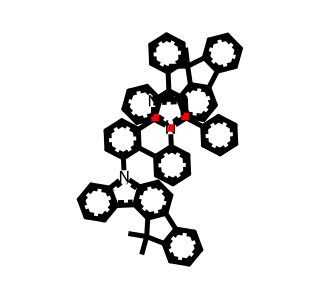 CC1(C)c2ccccc2-c2ccc3c(c21)c1ccccc1n3-c1ccccc1-c1c(-c2nc(-c3ccccc3)cc(-c3ccccc3)n2)cccc1-n1c2ccccc2c2c3c(ccc21)-c1ccccc1C3(C)C